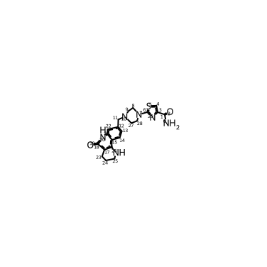 NC(=O)c1csc(N2CCN(Cc3ccc4c5c(c(=O)[nH]c4c3)CCCN5)CC2)n1